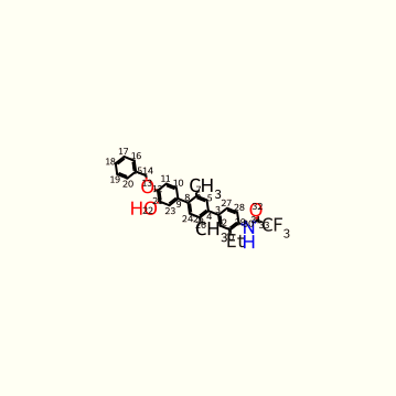 CCc1cc(-c2cc(C)c(-c3ccc(OCc4ccccc4)c(O)c3)cc2C)ccc1NC(=O)C(F)(F)F